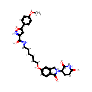 COc1ccc(-c2cc(C(=O)NCCCCCCOc3ccc4c(c3)CN(C3CCC(=O)NC3=O)C4=O)no2)cc1